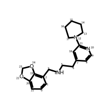 c1cc(CNCCc2ccnc(N3CCCCC3)c2)c2c(c1)OCO2